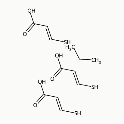 CCC.O=C(O)C=CS.O=C(O)C=CS.O=C(O)C=CS